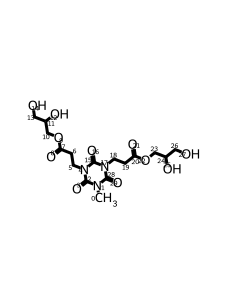 Cn1c(=O)n(CCC(=O)OCC(O)CO)c(=O)n(CCC(=O)OCC(O)CO)c1=O